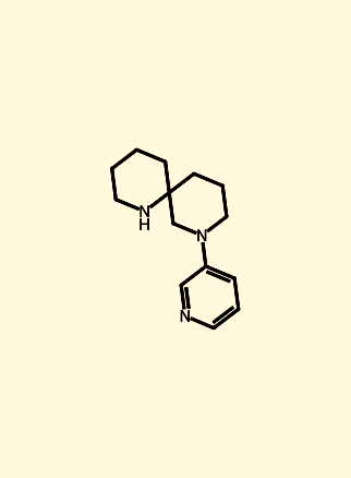 c1cncc(N2CCCC3(CCCCN3)C2)c1